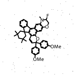 COc1ccc(C2(c3ccc(OC)cc3)C=Cc3c4c(c5cc6c(cc5c3O2)OCC(F)N6C)-c2ccccc2C42CC(C)(C)CC(C)(C)C2)cc1